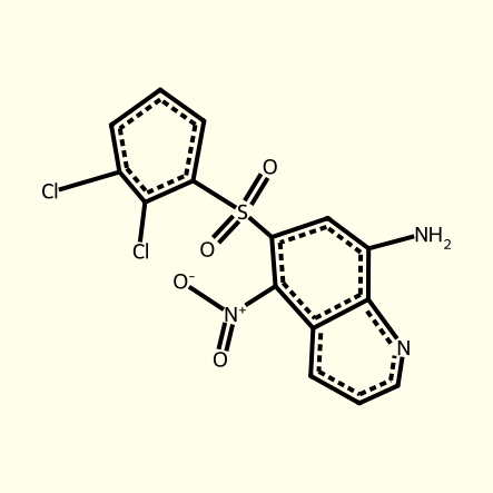 Nc1cc(S(=O)(=O)c2cccc(Cl)c2Cl)c([N+](=O)[O-])c2cccnc12